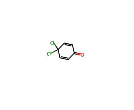 O=C1C=CC(Cl)(Cl)C=C1